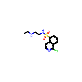 CCNCCNS(=O)(=O)c1cccc2c(Cl)nccc12